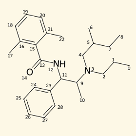 CCCN(CC(C)CC)C(C)C(NC(=O)c1c(C)cccc1C)c1ccccc1